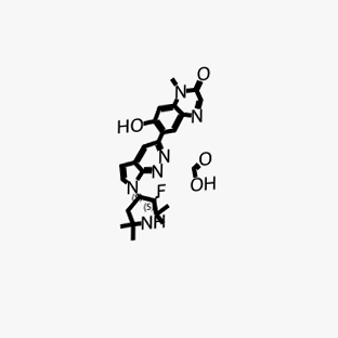 Cn1c(=O)cnc2cc(-c3cc4ccn([C@H]5CC(C)(C)NC(C)(C)[C@H]5F)c4nn3)c(O)cc21.O=CO